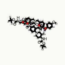 COc1ccc(CN(Cc2ccc(OC)cc2)S(=O)(=O)c2c(S(=O)(=O)NC[C@H](O)CNC(=O)OC(C)(C)C)ccc(N3CC[C@H](NC(=O)OC(C)(C)C)[C@H](F)C3)c2-c2nnn(Cc3ccc(OC)cc3)n2)cc1